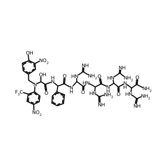 N=C(N)NC(NC(=O)C(NC(=N)N)NC(=O)C(NC(=N)N)NC(=O)C(NC(=N)N)NC(=O)C(NC(=O)C(O)N(Cc1ccc(O)c([N+](=O)[O-])c1)c1ccc([N+](=O)[O-])cc1C(F)(F)F)c1ccccc1)C(N)=O